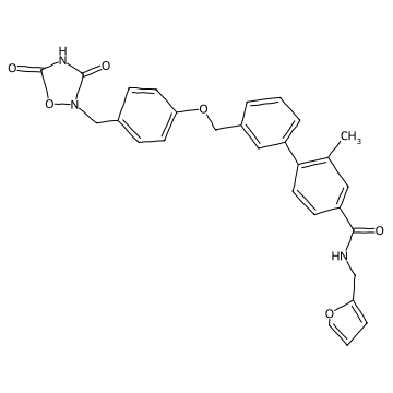 Cc1cc(C(=O)NCc2ccco2)ccc1-c1cccc(COc2ccc(Cn3oc(=O)[nH]c3=O)cc2)c1